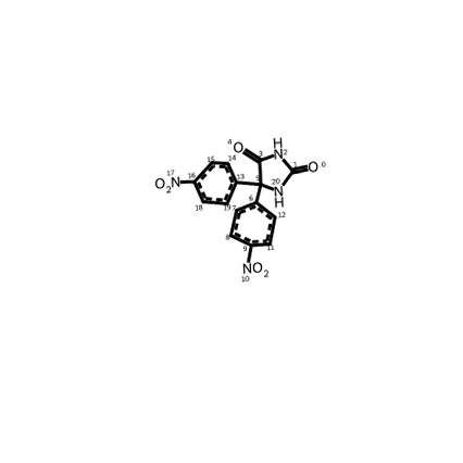 O=C1NC(=O)C(c2ccc([N+](=O)[O-])cc2)(c2ccc([N+](=O)[O-])cc2)N1